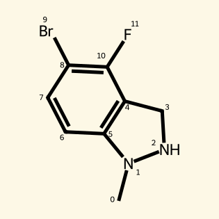 CN1NCc2c1ccc(Br)c2F